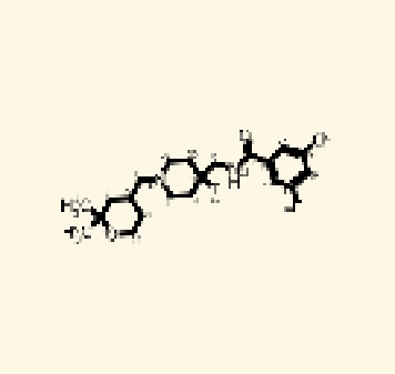 CC1(C)CC(CN2CCC(F)(CNC(=O)c3cc(F)cc(Cl)c3)CC2)CCO1